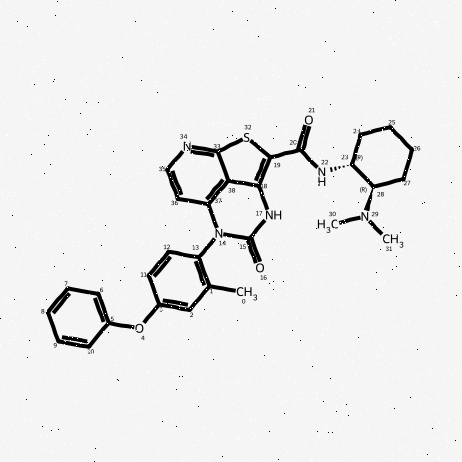 Cc1cc(Oc2ccccc2)ccc1N1C(=O)Nc2c(C(=O)N[C@@H]3CCCC[C@H]3N(C)C)sc3nccc1c23